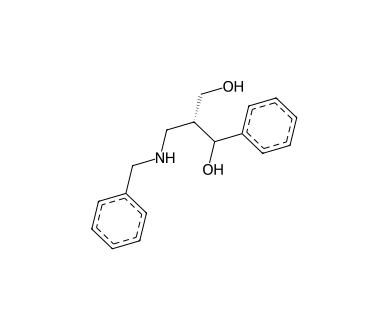 OC[C@@H](CNCc1ccccc1)C(O)c1ccccc1